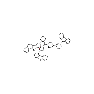 c1cc(-c2ccc(N(c3ccc(-c4cccc5oc6ccccc6c45)cc3)c3ccccc3-c3ccc4oc5c6ccccc6ccc5c4c3)cc2)cc(-n2c3ccccc3c3ccccc32)c1